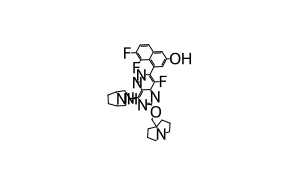 Oc1cc(-c2nnc3c(N4CC5CCC(C4)N5)nc(OCC45CCCN4CCC5)nc3c2F)c2c(F)c(F)ccc2c1